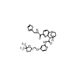 CC1(C)OC[C@H](COc2ccnc(NC(=O)N3c4nc(C(=O)NCc5nccs5)ccc4N4CC[C@H]3C4)c2)O1